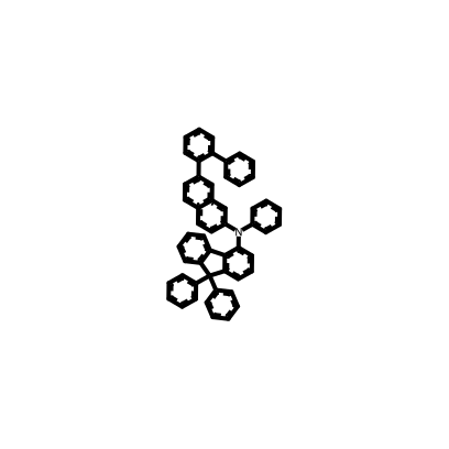 c1ccc(-c2ccccc2-c2ccc3ccc(N(c4ccccc4)c4cccc5c4-c4ccccc4C5(c4ccccc4)c4ccccc4)cc3c2)cc1